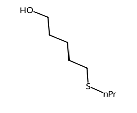 CCCSCCCCCO